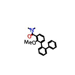 COc1c(C(=O)N(C)C)cccc1-c1ccccc1-c1ccccc1